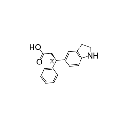 O=C(O)C[C@H](c1ccccc1)c1ccc2c(c1)CCN2